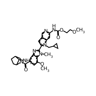 COCCOC(=O)Nc1cc2c(cn1)cc(-c1nc3cc(C(=O)N4CC5CCC4C5N)cc(OC)c3n1C)n2CC1CC1